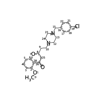 COc1cccc2oc(CCN3CCN(Cc4ccc(Cl)cc4)CC3)cc(=O)c12